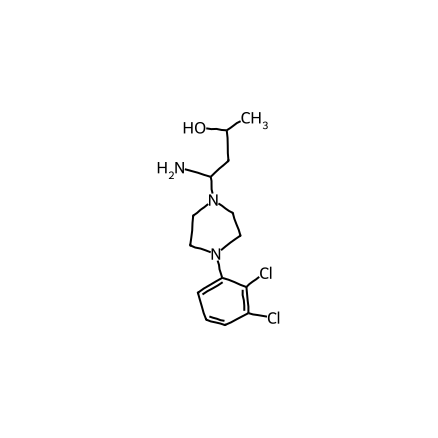 CC(O)CC(N)N1CCN(c2cccc(Cl)c2Cl)CC1